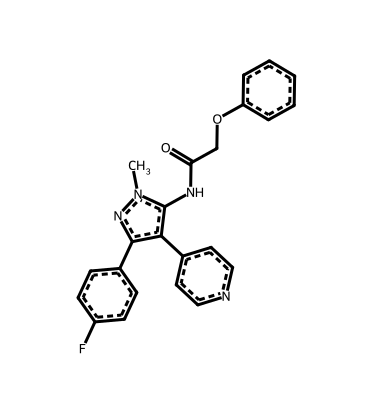 Cn1nc(-c2ccc(F)cc2)c(-c2ccncc2)c1NC(=O)COc1ccccc1